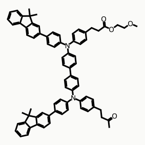 COCCOC(=O)CCc1ccc(N(c2ccc(-c3ccc(N(c4ccc(CCC(C)=O)cc4)c4ccc(-c5ccc6c(c5)C(C)(C)c5ccccc5-6)cc4)cc3)cc2)c2ccc(-c3ccc4c(c3)C(C)(C)c3ccccc3-4)cc2)cc1